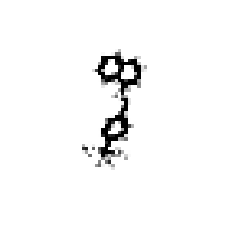 CC(C)(C)c1ccc(COc2cccc3ccccc23)cc1